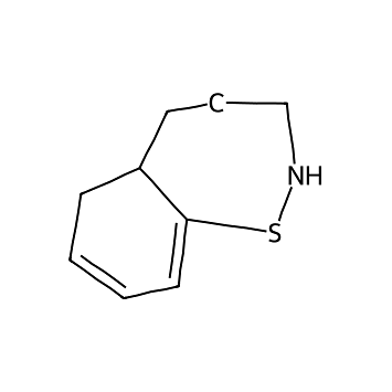 C1=CCC2CCCNSC2=C1